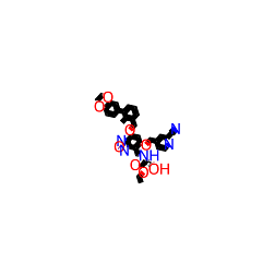 CCOC(=O)[C@@H](CO)NCc1c(OCc2ccnc(C#N)c2)cc(OCc2cccc(-c3ccc4c(c3)OCCO4)c2C)c2nonc12